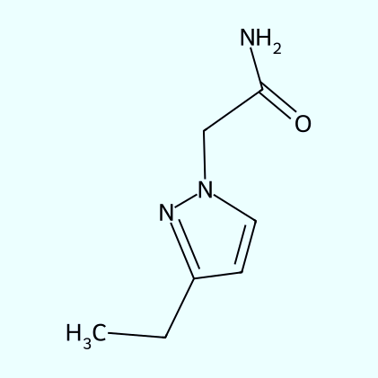 CCc1ccn(CC(N)=O)n1